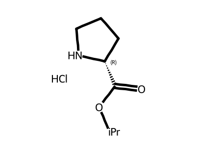 CC(C)OC(=O)[C@H]1CCCN1.Cl